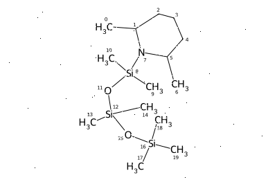 CC1CCCC(C)N1[Si](C)(C)O[Si](C)(C)O[Si](C)(C)C